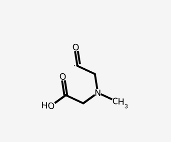 CN(C[C]=O)CC(=O)O